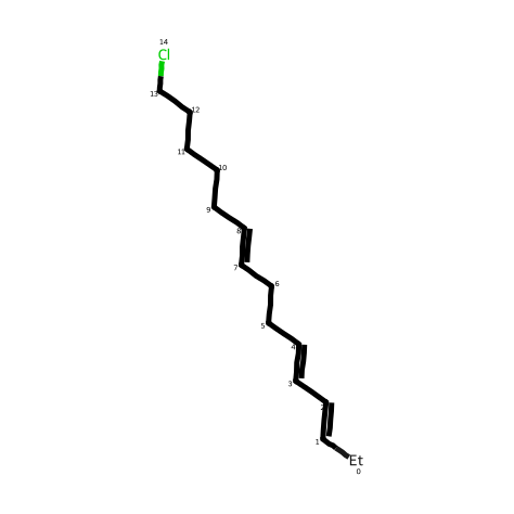 CC/C=C/C=C/CC/C=C/CCCCCCl